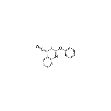 CC1C(=C=O)c2ccccc2N=C1Oc1ccccc1